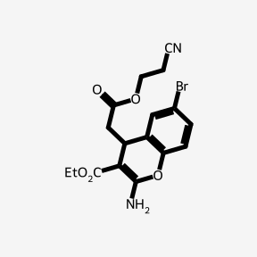 CCOC(=O)C1=C(N)Oc2ccc(Br)cc2C1CC(=O)OCCC#N